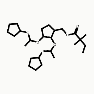 CCC(C)(C)C(=O)OCC1CCC(OC(C)OC2CCCC2)C1OC(C)OC1CCCC1